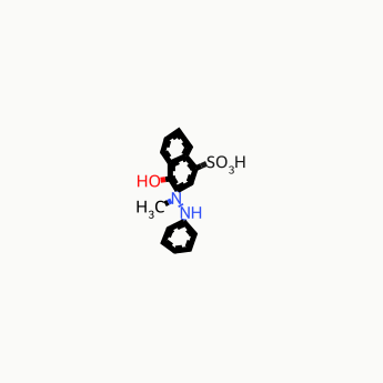 CN(Nc1ccccc1)c1cc(S(=O)(=O)O)c2ccccc2c1O